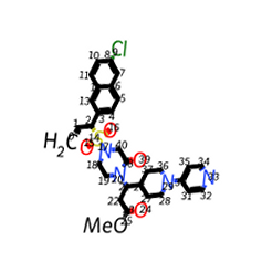 C=CC(c1ccc2cc(Cl)ccc2c1)S(=O)(=O)N1CCN(C(CC(=O)OC)C2CCN(c3ccncc3)CC2)C(=O)C1